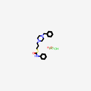 Cl.Cl.O.O=C(Nc1ccccc1)SCCCN1CCN(Cc2ccccc2)CC1